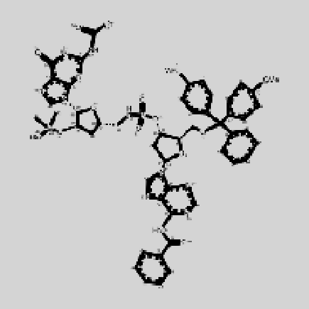 COc1ccc(C(OC[C@H]2O[C@@H](n3cnc4c(NC(=O)c5ccccc5)ncnc43)C[C@@H]2OS(=O)(=O)NC[C@@H]2C[C@@H](O[Si](C)(C)C(C)(C)C)[C@H](n3cnc4c(=O)[nH]c(NC(=O)C(C)C)nc43)O2)(c2ccccc2)c2ccc(OC)cc2)cc1